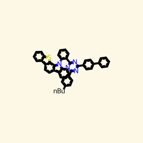 CCCCc1ccc(-c2nc(-c3ccc(-c4ccccc4)cc3)nc(-c3ccccc3-n3c4ccccc4c4ccc5c6ccccc6sc5c43)n2)cc1